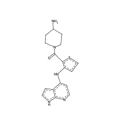 NC1CCN(C(=O)c2sccc2Nc2ccnc3[nH]ccc23)CC1